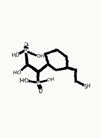 O=P(O)(O)C(O)C(C1CCCC(CCS)C1)P(=O)(O)O